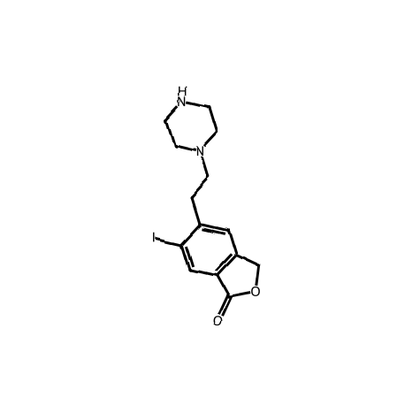 O=C1OCc2cc(CCN3CCNCC3)c(I)cc21